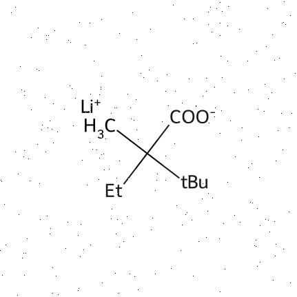 CCC(C)(C(=O)[O-])C(C)(C)C.[Li+]